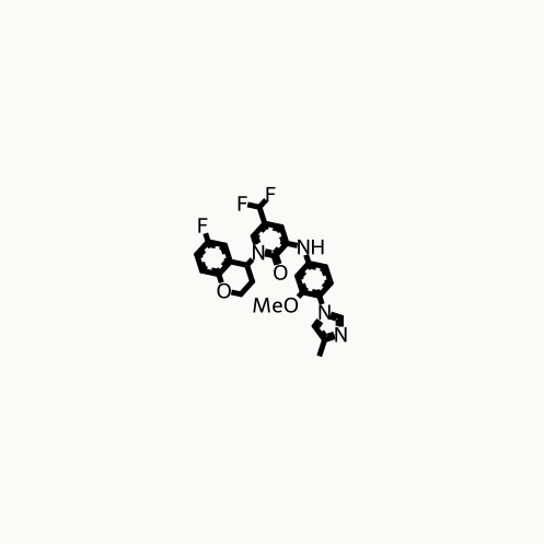 COc1cc(Nc2cc(C(F)F)cn(C3CCOc4ccc(F)cc43)c2=O)ccc1-n1cnc(C)c1